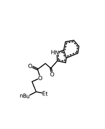 CCCCC(CC)COC(=O)CC(=O)c1cc2ccccc2[nH]1